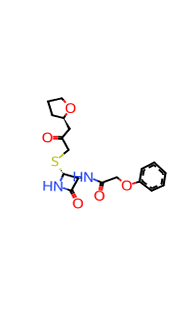 O=C(CS[C@H]1NC(=O)[C@H]1NC(=O)COc1ccccc1)C[C@H]1CCCO1